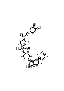 O=C(/C=C/c1ccc(Cl)c(Cl)c1)N1CCC(O)(C(O)CN2CCC(c3c[nH]c4ccc(N5CCOCC5)cc34)CC2)CC1